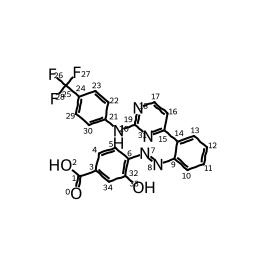 O=C(O)c1ccc(/N=N/c2ccccc2-c2ccnc(Nc3ccc(C(F)(F)F)cc3)n2)c(O)c1